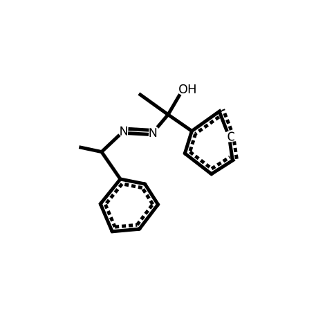 CC(/N=N/C(C)(O)c1ccccc1)c1ccccc1